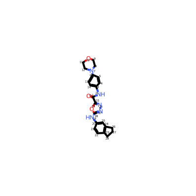 O=C(Nc1ccc(N2CCOCC2)cc1)c1nnc(Nc2ccc3c(c2)CCC3)o1